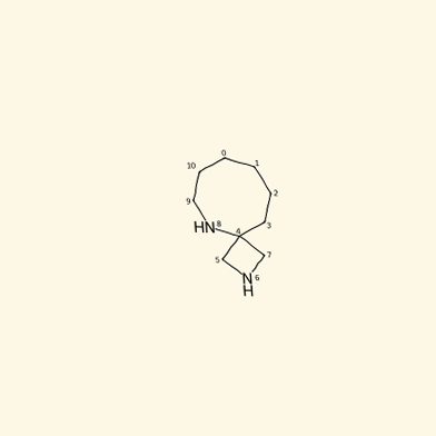 C1CCCC2(CNC2)NCC1